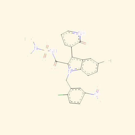 Cc1ccc2c(c1)c(-c1ccc[nH]c1=O)c(C(=O)NS(=O)(=O)N(C)C)n2Cc1cc([N+](=O)[O-])ccc1F